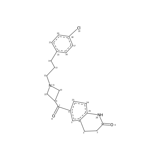 O=C1CCc2cc(C(=O)C3CN(CCCc4ccc(Cl)cc4)C3)ccc2N1